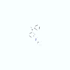 O=C(O)/C=C/c1cccc(C(=O)c2ccccc2)n1